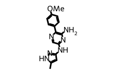 COc1ccc(-c2ncc(Nc3cc(C)[nH]n3)nc2N)cc1